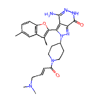 Cc1ccc2oc(-c3c4c(N)n[nH]c(=O)c4nn3C3CCN(C(=O)/C=C/CN(C)C)CC3)c(C)c2c1